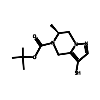 C[C@H]1Cn2ncc(S)c2CN1C(=O)OC(C)(C)C